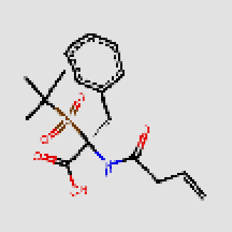 C=CCC(=O)N[C@@](Cc1ccccc1)(C(=O)O)S(=O)(=O)C(C)(C)C